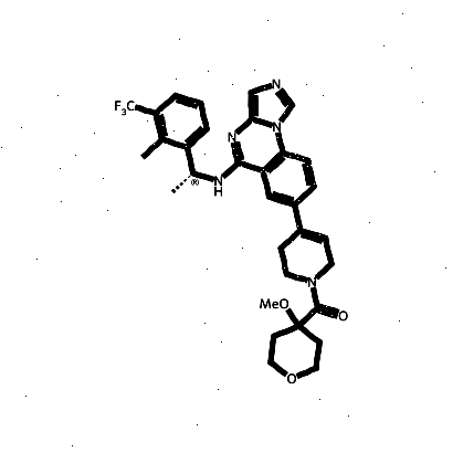 COC1(C(=O)N2CC=C(c3ccc4c(c3)c(N[C@H](C)c3cccc(C(F)(F)F)c3C)nc3cncn34)CC2)CCOCC1